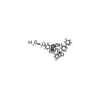 CC#CCOc1ccc(S(=O)(=O)N2Cc3ccccc3N(C(=O)c3ccc(-c4ccccc4)cc3)CC2C(=O)O)cc1